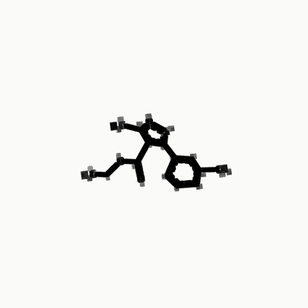 CCOC(=O)c1c(-c2cccc(C)c2)noc1C